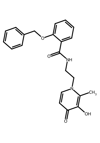 Cc1c(O)c(=O)ccn1CCNC(=O)c1ccccc1OCc1ccccc1